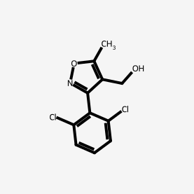 Cc1onc(-c2c(Cl)cccc2Cl)c1CO